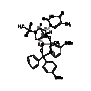 COc1ccc(C(OC[C@@]23CN(S(C)(=O)=O)[C@@H]([C@H](n4cc(C)c(=O)[nH]c4=O)O2)[C@@H]3O[Si](C)(C)C)(c2ccccc2)c2ccc(OC)cc2)cc1